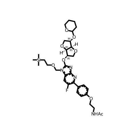 CC(=O)NCCOc1ccc(-c2nc3nc(O[C@@H]4CO[C@H]5[C@@H]4OC[C@H]5OC4CCCCO4)n(COCC[Si](C)(C)C)c3cc2F)cc1